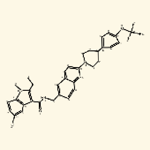 CCc1c(C(=O)NCc2ccc3nc(N4CCC(c5ccc(OC(F)(F)F)cc5)CC4)ccc3c2)c2cc(Cl)ccc2n1C